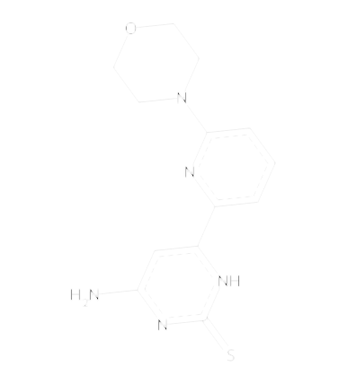 Nc1cc(-c2cccc(N3CCOCC3)n2)[nH]c(=S)n1